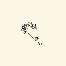 CCCCCCC(O)CCCCCCCCCCC(=O)OC1=CCCC2CC[C@H]3[C@@H]4CC[C@H]([C@H](C)CCCC(C)C)[C@@]4(C)CC[C@@H]3[C@@]12C